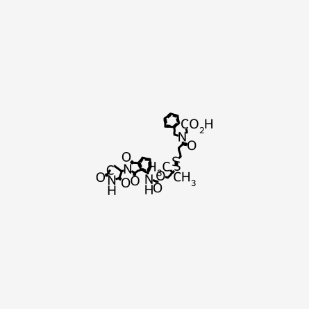 CC(C)(COC(=O)Nc1cccc2c1C(=O)N(C1CCC(=O)NC1=O)C2=O)SSCCC(=O)N(CC(=O)O)Cc1ccccc1